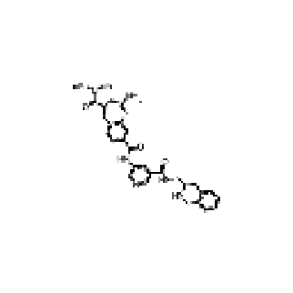 CCCN(CCC)C(=O)C1=Cc2ccc(C(=O)Nc3cncc(C(=O)NCC4Cc5ccccc5CN4)c3)cc2N=C(N)C1